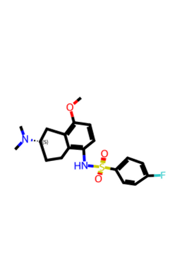 COc1ccc(NS(=O)(=O)c2ccc(F)cc2)c2c1C[C@@H](N(C)C)CC2